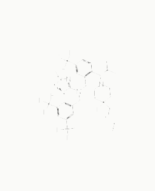 CCOCC1(F)CCN([C@@H](c2ccc(C(F)(F)F)cc2CN(Cc2cc(C(F)(F)F)cc(C(F)(F)F)c2)c2nnn(C)n2)C(C)C)CC1